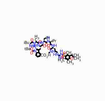 CC[C@H](C)[C@H](N)C(=O)N[C@@H](C)C(=O)N[C@@H](Cc1cn(C(=O)OC(C)(C)C)c2ccccc12)C(=O)N[C@@H](CC(C)C)C(=O)N[C@H](C(=O)N[C@@H](CCCNC(=N)NS(=O)(=O)c1c(C)c(C)c2c(c1C)CC(C)(C)O2)C(=O)NCC(=O)O)C(C)C